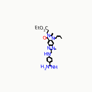 C=C(/N=C\C=C/C)N(CCC(=O)OCC)C(=O)c1ccc2c(c1)nc(CNc1ccc(C(=N)N)cc1)n2C